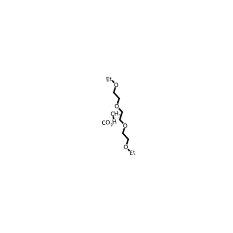 CC(=O)O.CCOCCOCCOCCOCC